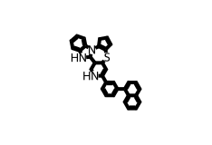 C1=CC2=C(C1)N1c3ccccc3NC1C1CNC(c3cccc(-c4cccc5ccccc45)c3)=CC1S2